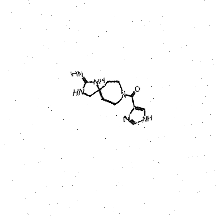 N=C1NCC2(CCN(C(=O)c3c[nH]cn3)CC2)N1